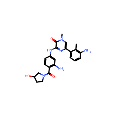 Cc1c(N)cccc1-c1cn(C)c(=O)c(Nc2ccc(C(=O)N3CCC(O)C3)c(N)c2)n1